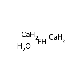 F.O.[CaH2].[CaH2]